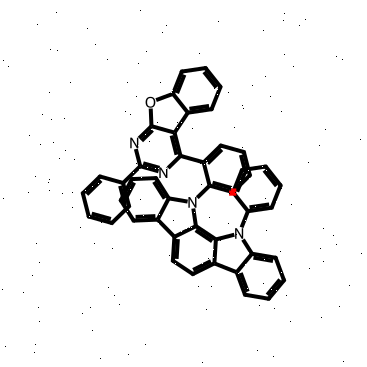 c1ccc(-c2nc(-c3ccccc3-n3c4ccccc4c4ccc5c6ccccc6n(-c6ccccc6)c5c43)c3c(n2)oc2ccccc23)cc1